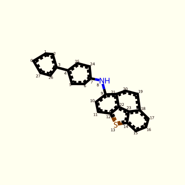 c1ccc(-c2ccc(Nc3ccc4sc5cccc6ccc3c4c65)cc2)cc1